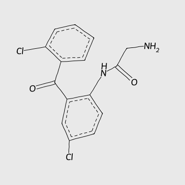 NCC(=O)Nc1ccc(Cl)cc1C(=O)c1ccccc1Cl